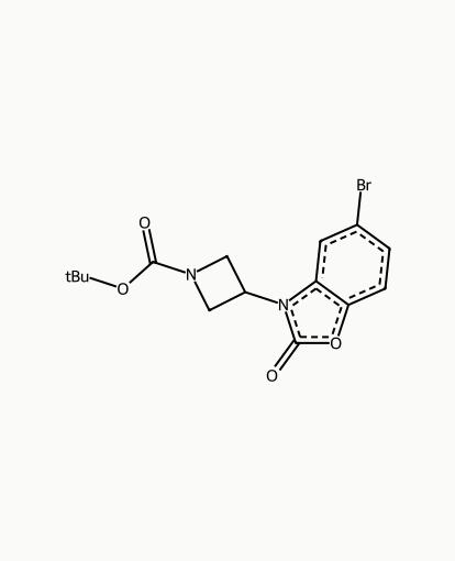 CC(C)(C)OC(=O)N1CC(n2c(=O)oc3ccc(Br)cc32)C1